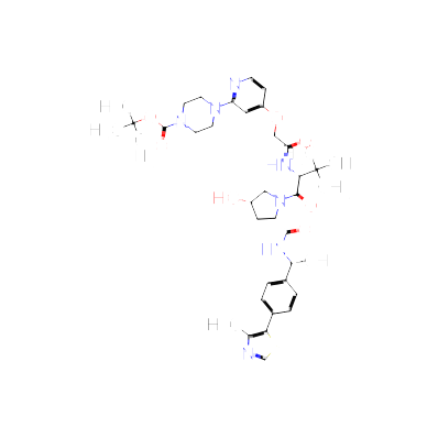 Cc1ncsc1-c1ccc([C@H](C)NC(=O)[C@@H]2C[C@@H](O)CN2C(=O)[C@@H](NC(=O)COc2ccnc(N3CCN(C(=O)OC(C)(C)C)CC3)c2)C(C)(C)C)cc1